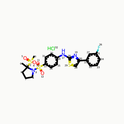 CC1(S(C)(=O)=O)CCCN1S(=O)(=O)c1ccc(Nc2nc(-c3cccc(F)c3)cs2)cc1.Cl